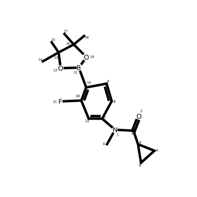 CN(C(=O)C1CC1)c1ccc(B2OC(C)(C)C(C)(C)O2)c(F)c1